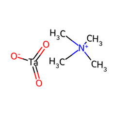 C[N+](C)(C)C.[O]=[Ta](=[O])[O-]